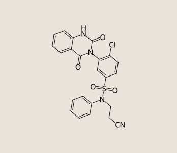 N#CCCN(c1ccccc1)S(=O)(=O)c1ccc(Cl)c(-n2c(=O)[nH]c3ccccc3c2=O)c1